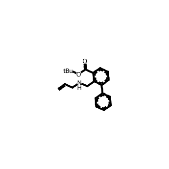 C=CCNCc1c(C(=O)OC(C)(C)C)cccc1-c1ccccc1